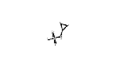 CS(=O)(=O)OC1CC1